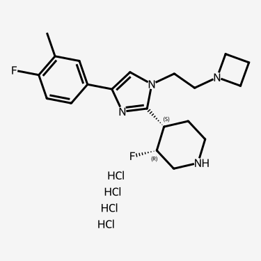 Cc1cc(-c2cn(CCN3CCC3)c([C@@H]3CCNC[C@@H]3F)n2)ccc1F.Cl.Cl.Cl.Cl